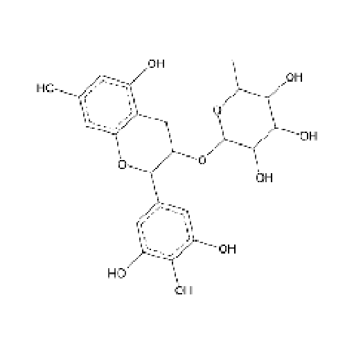 CC1OC(OC2Cc3c(O)cc(O)cc3OC2c2cc(O)c(O)c(O)c2)C(O)C(O)C1O